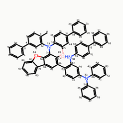 Cc1ccc(-c2ccccc2)cc1N1c2ccc(-c3ccccc3)cc2Bc2c(-c3ccc(N(c4ccccc4)c4ccccc4)cc3Nc3ccc(-c4ccccc4)cc3)cc3c(oc4ccccc43)c21